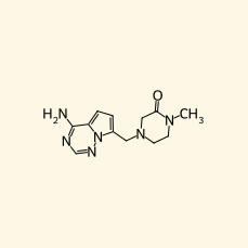 CN1CCN(Cc2ccc3c(N)ncnn23)CC1=O